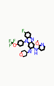 COc1ncccc1Nc1cc2nc3ccc(F)cc3n(-c3ccc(OC(F)(F)F)cc3)c-2c/c1=N\C1CCOCC1